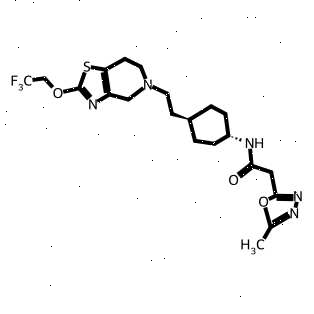 Cc1nnc(CC(=O)N[C@H]2CC[C@H](CCN3CCc4sc(OCC(F)(F)F)nc4C3)CC2)o1